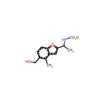 Cc1c(CO)ccc2oc(C(C)NC(=O)O)cc12